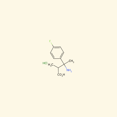 CC(C(=O)O)C(C)(N)c1ccc(F)cc1.Cl